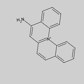 Nc1cc2ccc3ccccc3[n+]2c2ccccc12